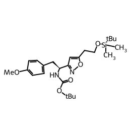 COc1ccc(C[C@H](NC(=O)OC(C)(C)C)c2cc(CCO[Si](C)(C)C(C)(C)C)on2)cc1